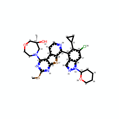 CSc1nc(N2CCOC[C@@](C)(O)C2)c2c(n1)sc1c(-c3c(C4CC4)c(Cl)cc4c3cnn4C3CCCCO3)nccc12